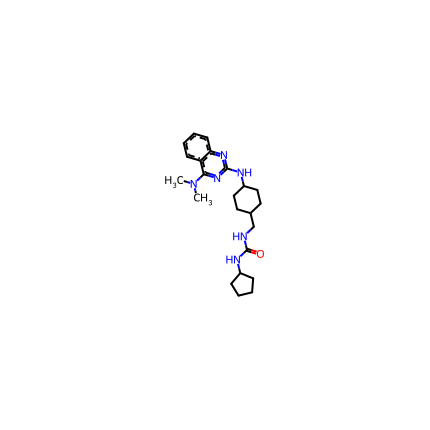 CN(C)c1nc(NC2CCC(CNC(=O)NC3CCCC3)CC2)nc2ccccc12